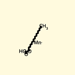 CCCCCCCCCCCCCC=CC=CC1=C(C(=O)O)O1.[Mn]